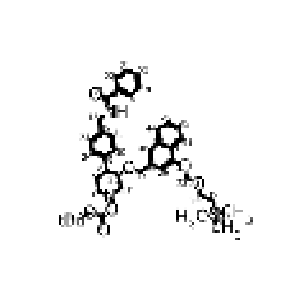 CC(C)(C)OC(=O)ON1CCC(c2ccc(CNC(=O)c3ccccc3)cc2)C(OCc2cc(OCOCC[Si](C)(C)C)c3ccccc3c2)C1